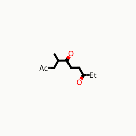 CCC(=O)CCC(=O)C(C)CC(C)=O